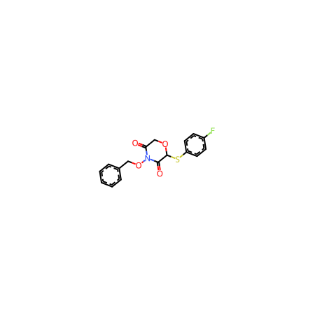 O=C1COC(Sc2ccc(F)cc2)C(=O)N1OCc1ccccc1